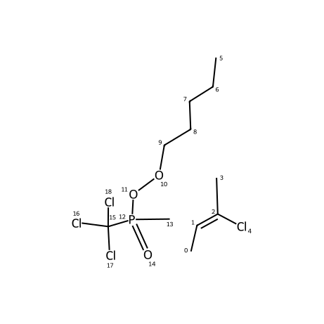 CC=C(C)Cl.CCCCCOOP(C)(=O)C(Cl)(Cl)Cl